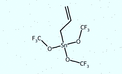 C=C[CH2][Sn]([O]C(F)(F)F)([O]C(F)(F)F)[O]C(F)(F)F